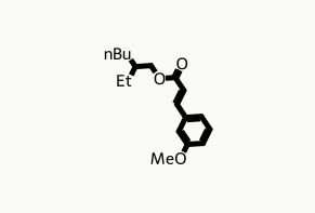 CCCCC(CC)COC(=O)C=Cc1cccc(OC)c1